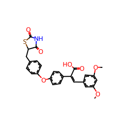 COc1cc(C=C(C(=O)O)c2ccc(Oc3ccc(CC4SC(=O)NC4=O)cc3)cc2)cc(OC)c1